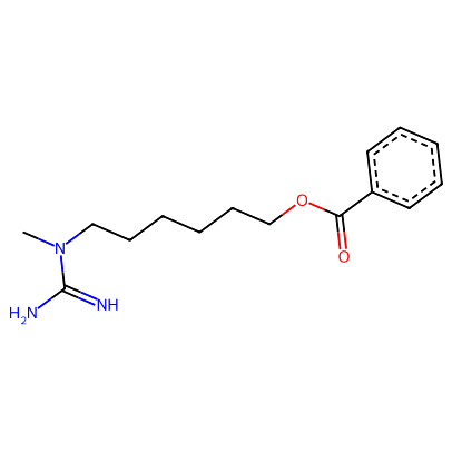 CN(CCCCCCOC(=O)c1ccccc1)C(=N)N